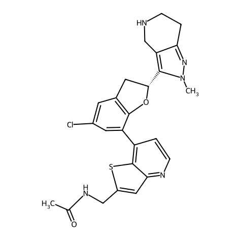 CC(=O)NCc1cc2nccc(-c3cc(Cl)cc4c3O[C@@H](c3c5c(nn3C)CCNC5)C4)c2s1